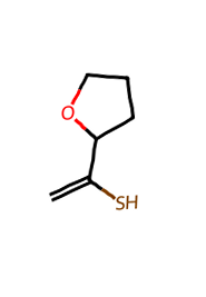 C=C(S)C1CCCO1